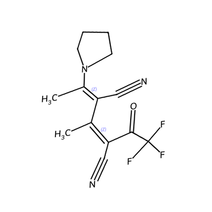 CC(=C(\C#N)C(=O)C(F)(F)F)/C(C#N)=C(\C)N1CCCC1